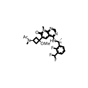 CO[C@]1(c2cc3c(N[C@H](C)c4cccc(C(F)F)c4F)ncnc3n(C)c2=O)C[C@H](N(C)C(C)=O)C1